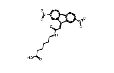 O=C(O)CCCCCNC(=O)C=C1c2cc([N+](=O)[O-])ccc2-c2ccc([N+](=O)[O-])cc21